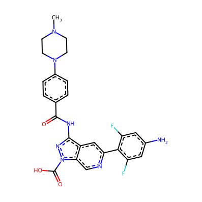 CN1CCN(c2ccc(C(=O)Nc3nn(C(=O)O)c4cnc(-c5c(F)cc(N)cc5F)cc34)cc2)CC1